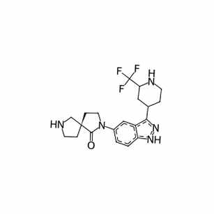 O=C1N(c2ccc3[nH]nc(C4CCNC(C(F)(F)F)C4)c3c2)CC[C@]12CCNC2